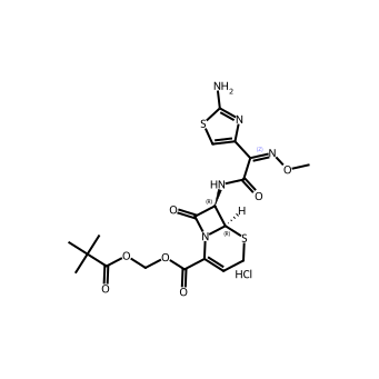 CO/N=C(\C(=O)N[C@@H]1C(=O)N2C(C(=O)OCOC(=O)C(C)(C)C)=CCS[C@H]12)c1csc(N)n1.Cl